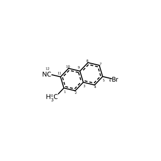 Cc1cc2cc(Br)ccc2cc1C#N